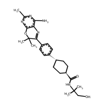 Cc1nc(N)c2c(n1)OC(C)(C)C(c1ccc([C@H]3CC[C@H](C(=O)NC(C)(C)CO)CC3)cc1)=N2